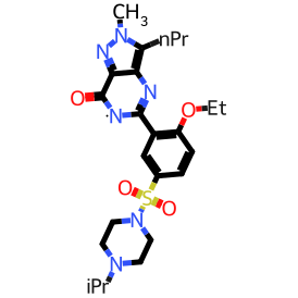 CCCc1c2c(nn1C)C(=O)[N]C(c1cc(S(=O)(=O)N3CCN(C(C)C)CC3)ccc1OCC)=N2